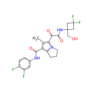 Cc1c(C(=O)Nc2ccc(F)c(F)c2)c2n(c1C(=O)C(=O)NC1(CO)CC(F)(F)C1)CCC2